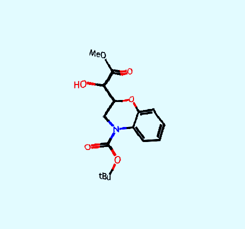 COC(=O)C(O)C1CN(C(=O)OC(C)(C)C)c2ccccc2O1